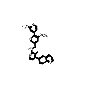 COc1cc(CNc2nccc(-c3ccc4ncccc4c3)c2F)cnc1-c1ccnc(C)c1